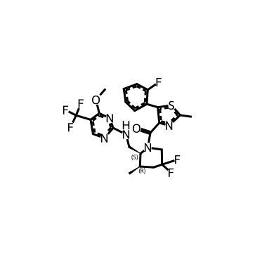 COc1nc(NC[C@@H]2[C@H](C)CC(F)(F)CN2C(=O)c2nc(C)sc2-c2ccccc2F)ncc1C(F)(F)F